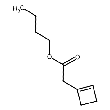 CCCCOC(=O)CC1=CCC1